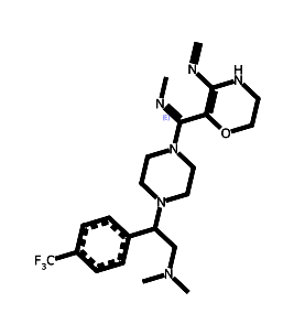 C=NC1=C(/C(=N\C)N2CCN(C(CN(C)C)c3ccc(C(F)(F)F)cc3)CC2)OCCN1